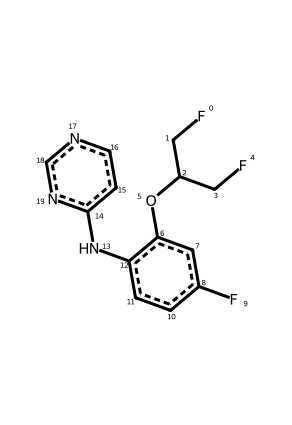 FCC(CF)Oc1cc(F)ccc1Nc1ccncn1